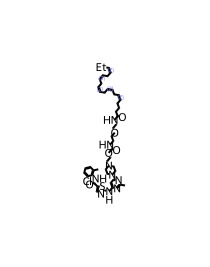 CC/C=C\C/C=C\C/C=C\C/C=C\C/C=C\CCCC(=O)NCCOCCNC(=O)OCCN1CCN(c2cc(Nc3ncc(C(=O)Nc4c(C)cccc4Cl)s3)nc(C)n2)CC1